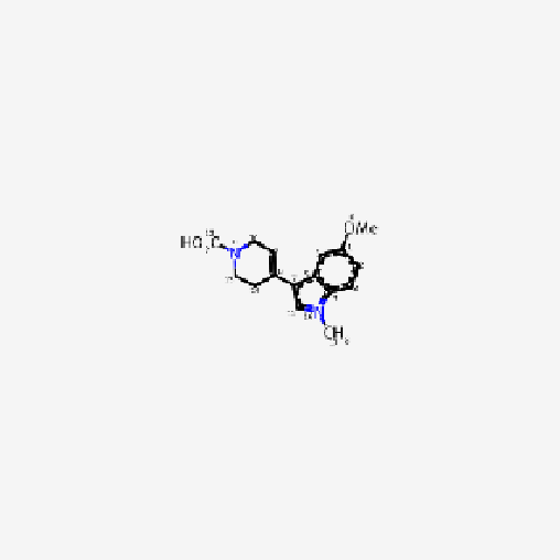 COc1ccc2c(c1)c(C1=CCN(C(=O)O)CC1)cn2C